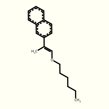 CCCCCCOC=C(C)c1ccc2ccccc2c1